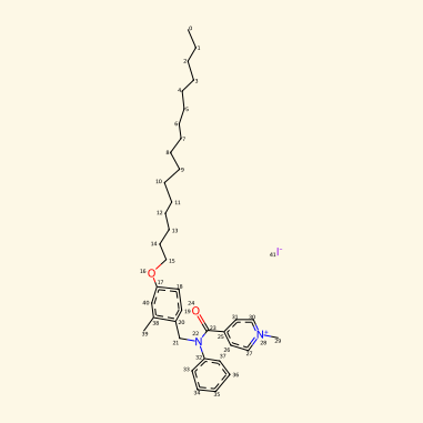 CCCCCCCCCCCCCCCCOc1ccc(CN(C(=O)c2cc[n+](C)cc2)c2ccccc2)c(C)c1.[I-]